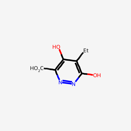 CCc1c(O)nnc(C(=O)O)c1O